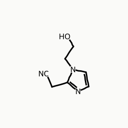 N#CCc1nccn1CCO